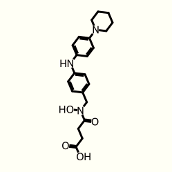 O=C(O)CCC(=O)N(O)Cc1ccc(Nc2ccc(N3CCCCC3)cc2)cc1